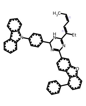 C/C=C\C=C(/CC)C1=NC(c2ccc3c(c2)oc2cccc(-c4ccccc4)c23)=NC(c2ccc(-n3c4ccccc4c4ccccc43)cc2)N1